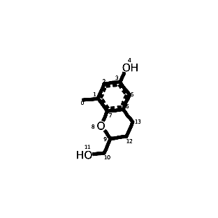 Cc1cc(O)cc2c1OC(CO)CC2